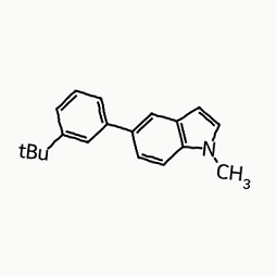 Cn1ccc2cc(-c3cccc(C(C)(C)C)c3)ccc21